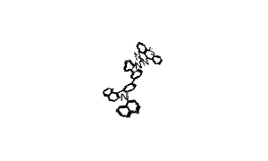 c1ccc2c(c1)Sc1cccc3nc(-n4c5ccccc5c5cc(-c6ccc7c(c6)c6c8ccccc8ccc6n7-c6cccc7ccccc67)ccc54)nc-2c13